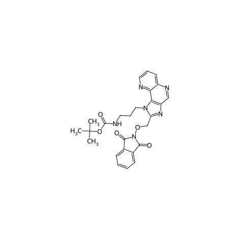 CC(C)(C)OC(=O)NCCCn1c(CON2C(=O)c3ccccc3C2=O)nc2cnc3cccnc3c21